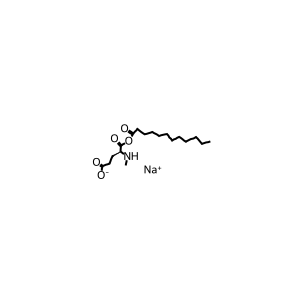 CCCCCCCCCCCC(=O)OC(=O)[C@H](CCC(=O)[O-])NC.[Na+]